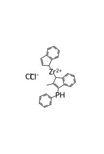 CC1=C(Pc2ccccc2)c2ccccc2[CH]1[Zr+2][CH]1C=Cc2ccccc21.[Cl-].[Cl-]